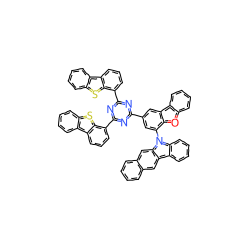 c1ccc2cc3c(cc2c1)c1ccccc1n3-c1cc(-c2nc(-c3cccc4c3sc3ccccc34)nc(-c3cccc4c3sc3ccccc34)n2)cc2c1oc1ccccc12